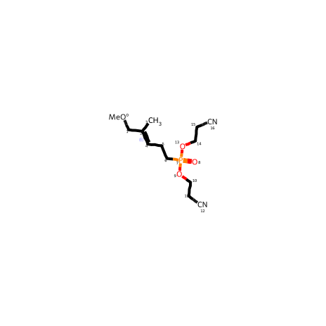 [CH2]OC/C(C)=C/CCP(=O)(OCCC#N)OCCC#N